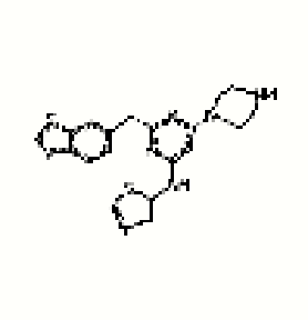 C1=NCC(Nc2cc(N3CCNCC3)nc(Cc3ccc4ncsc4c3)n2)S1